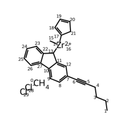 C.CCCCC#Cc1ccc2c(c1)[CH]([Zr+2]([CH3])([CH3])[C]1=CC=CC1)c1ccccc1-2.[Cl-].[Cl-]